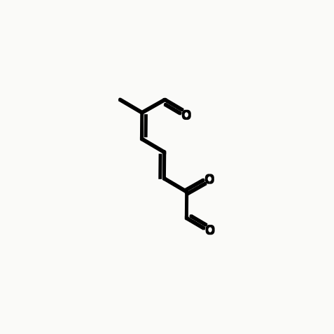 CC(C=O)=CC=CC(=O)C=O